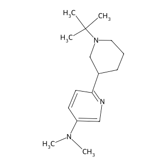 CN(C)c1ccc(C2CCCN(C(C)(C)C)C2)nc1